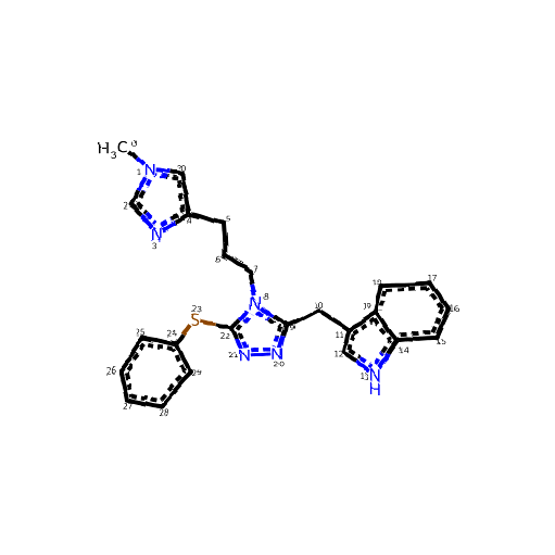 Cn1cnc(CCCn2c(Cc3c[nH]c4ccccc34)nnc2Sc2ccccc2)c1